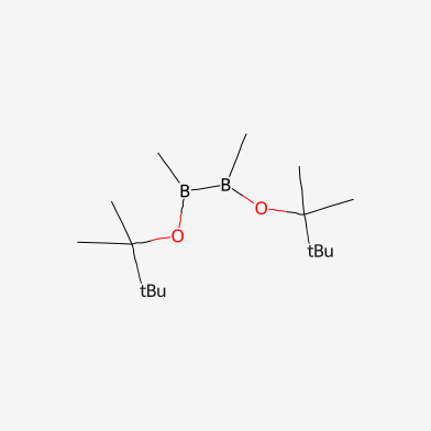 CB(OC(C)(C)C(C)(C)C)B(C)OC(C)(C)C(C)(C)C